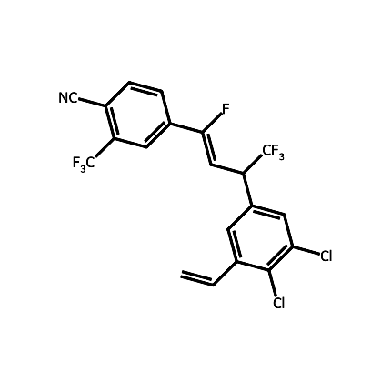 C=Cc1cc(C(C=C(F)c2ccc(C#N)c(C(F)(F)F)c2)C(F)(F)F)cc(Cl)c1Cl